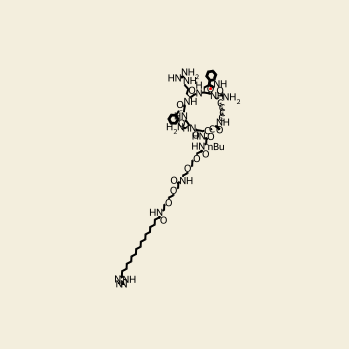 CCCC[C@H](NC(=O)COCCOCCNC(=O)COCCOCCNC(=O)CCCCCCCCCCCCCCCc1nnn[nH]1)C(=O)N[C@H]1CCC(=O)NCCCC[C@@H](C(N)=O)NC(=O)[C@H](Cc2c[nH]c3ccccc23)NC(=O)[C@H](CCCNC(=N)N)NC(=O)[C@@H](Cc2ccccc2)NC(=O)[C@H](CN)NC1=O